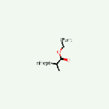 CCCCCCCC(C)C(=O)OCC(C)CCC